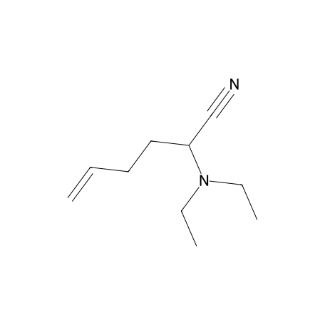 C=CCCC(C#N)N(CC)CC